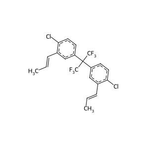 CC=Cc1cc(C(c2ccc(Cl)c(C=CC)c2)(C(F)(F)F)C(F)(F)F)ccc1Cl